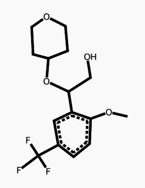 COc1ccc(C(F)(F)F)cc1C(CO)OC1CCOCC1